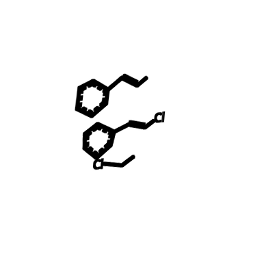 CC=Cc1ccccc1.CCCl.ClC=Cc1ccccc1